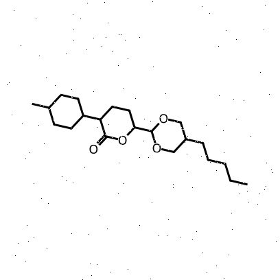 CCCCCC1COC(C2CCC(C3CCC(C)CC3)C(=O)O2)OC1